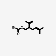 C=C(C)C(CC=C(C)C)COC(=O)CC